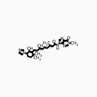 CC1=C(/C=C/C(C)=C/C=C/C(C)=C/C(=O)Nn2cnc3c(=O)n(C)cnc32)C(C)(C)CCC1n1ccnc1